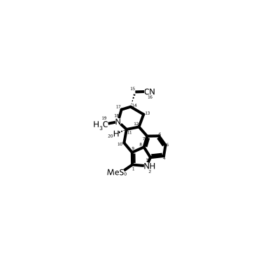 CSc1[nH]c2cccc3c2c1C[C@@H]1C3C[C@@H](CC#N)CN1C